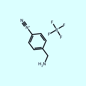 F[B-](F)(F)F.N#[N+]c1ccc(CN)cc1